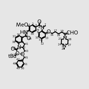 COc1cc(C(=O)N(C)c2ccc(C)cc2OCCCCC(C=O)N2CCN(C)CC2)ccc1NC(=O)c1cccc2c1CC(COCc1ccccc1)N2C(=O)OC(C)(C)C